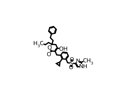 CCCC1(CCc2ccccc2)CC(O)=C(Cc2cccc(CS(=O)(=O)c3c[nH]c(C)n3)c2C2CC2)C(=O)O1